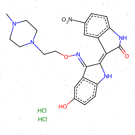 CN1CCN(CCO/N=C2/C(=C3/C(=O)Nc4ccc([N+](=O)[O-])cc43)Nc3ccc(O)cc32)CC1.Cl.Cl